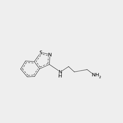 NCCCNc1nsc2ccccc12